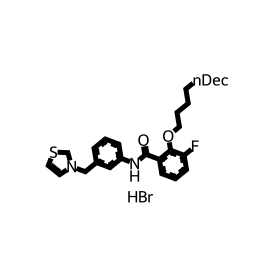 Br.CCCCCCCCCCCCCCOc1c(F)cccc1C(=O)Nc1cccc(CN2C=CSC2)c1